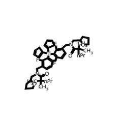 CCCC(C)(C)C(=O)N(Cc1ccc(F)[c]([Ti]([C]2=CC=CC2)([C]2=CC=CC2)[c]2c(F)ccc(CN(CC3CCCO3)C(=O)C(C)(C)CCC)c2F)c1F)CC1CCCO1